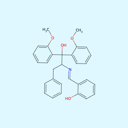 COc1ccccc1C(O)(c1ccccc1OC)C(Cc1ccccc1)N=Cc1ccccc1O